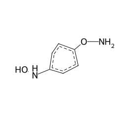 NOc1ccc(NO)cc1